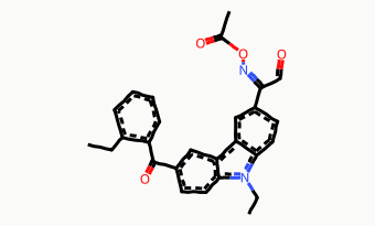 CCc1ccccc1C(=O)c1ccc2c(c1)c1cc(C(C=O)=NOC(C)=O)ccc1n2CC